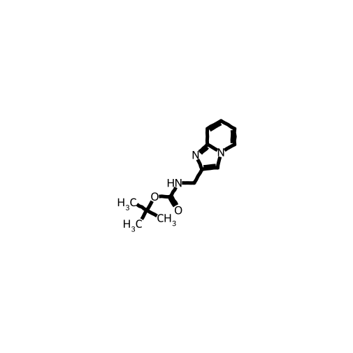 CC(C)(C)OC(=O)NCc1cn2ccccc2n1